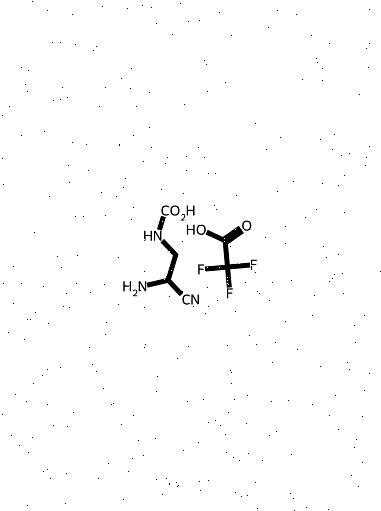 N#CC(N)CNC(=O)O.O=C(O)C(F)(F)F